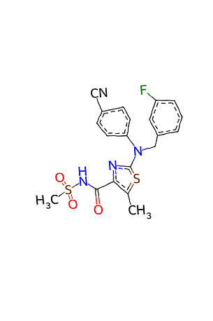 Cc1sc(N(Cc2cccc(F)c2)c2ccc(C#N)cc2)nc1C(=O)NS(C)(=O)=O